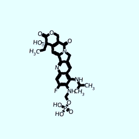 CC[C@@]1(O)C(=O)OCc2c1cc1n(c2=O)Cc2cc3c(NC(C)C)c(NCOP(=O)(O)O)c(F)cc3nc2-1